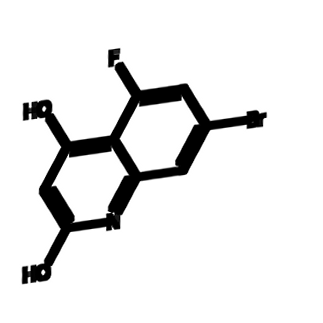 Oc1cc(O)c2c(F)cc(Br)cc2n1